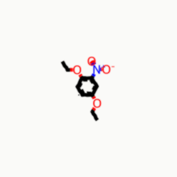 CCOc1[c]cc(OCC)c([N+](=O)[O-])c1